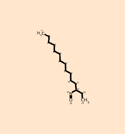 CCCCCCCCCCCCC(CC)N=O